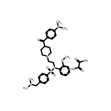 COc1ccccc1N(CCN1CCC(C(=O)c2ccc(N(C)C)cc2)CC1)S(=O)(=O)c1ccc(CN(C)C)cc1.O=C(O)C(=O)O